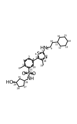 Cc1ccc(-c2sc(NCCC3CCCCC3)nc2C)cc1S(=O)(=O)NC1CCC(O)C1